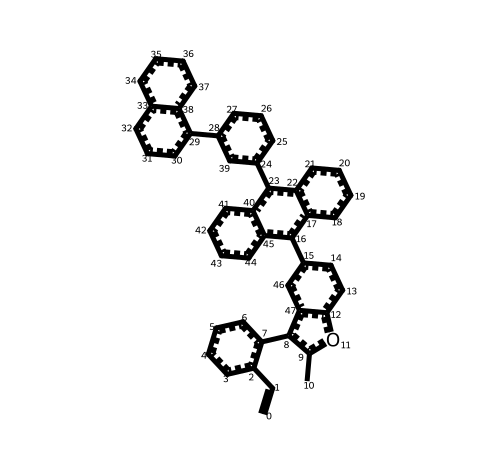 C=Cc1ccccc1-c1c(C)oc2ccc(-c3c4ccccc4c(-c4cccc(-c5cccc6ccccc56)c4)c4ccccc34)cc12